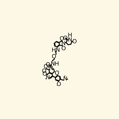 COc1cc(-c2cn(C)c(=O)c3c2CCN(C(=O)NCCOCCNc2cccc4c2C(=O)N(C2CCC(=O)NC2=O)C4=O)C3C(=O)O)c(OC)cc1CN(C)C